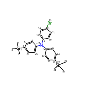 C[Si](C)(C)c1ccc(N(c2ccc(Br)cc2)c2ccc([Si](C)(C)C)cc2)cc1